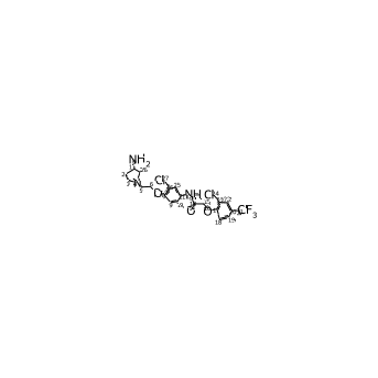 NC1CCN(CCOc2ccc(NC(=O)COc3ccc(C(F)(F)F)cc3Cl)cc2Cl)C1